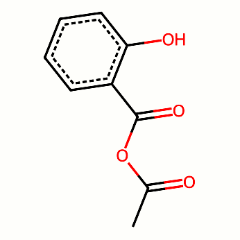 CC(=O)OC(=O)c1ccccc1O